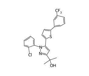 CC(C)(O)c1cc(-c2ccc(-c3cccc(C(F)(F)F)c3)s2)n(-c2ccccc2Cl)n1